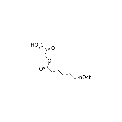 CCCCCCCCCCCCCC(=O)OCC(=O)C(=O)O